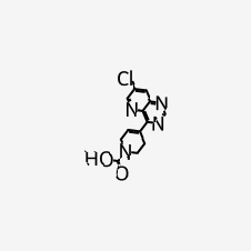 O=C(O)N1CC=C(c2ncnc3cc(Cl)cnc23)CC1